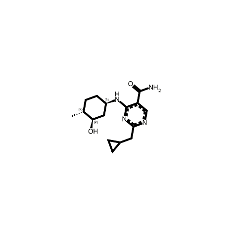 C[C@@H]1CC[C@@H](Nc2nc(CC3CC3)ncc2C(N)=O)C[C@H]1O